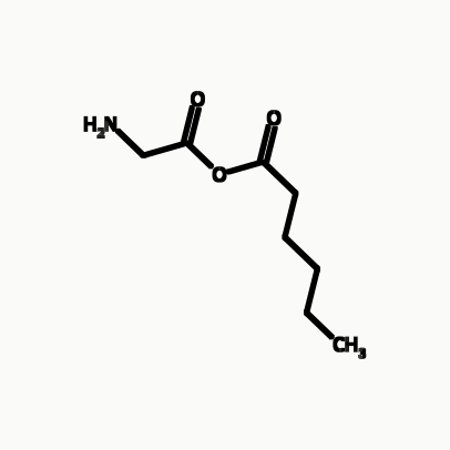 CCCCCC(=O)OC(=O)CN